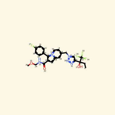 CCC(O)(c1cn(Cc2ccn3c(-c4ccc(F)cc4)c(C(=O)NCOC)cc3c2)nn1)C(F)(F)F